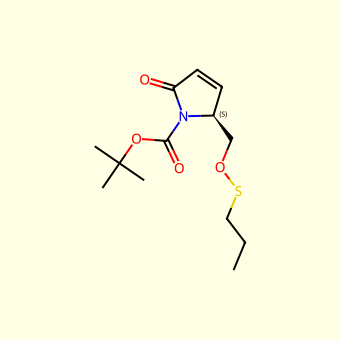 CCCSOC[C@@H]1C=CC(=O)N1C(=O)OC(C)(C)C